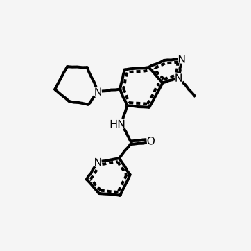 Cn1ncc2cc(N3CCCCC3)c(NC(=O)c3ccccn3)cc21